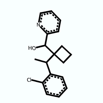 CC(c1ccccc1Cl)C1(C(O)c2ccccn2)CCC1